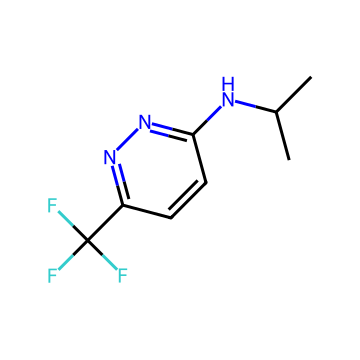 CC(C)Nc1ccc(C(F)(F)F)nn1